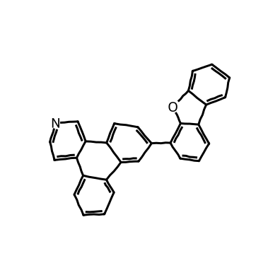 c1ccc2c(c1)oc1c(-c3ccc4c5cnccc5c5ccccc5c4c3)cccc12